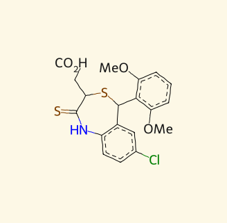 COc1cccc(OC)c1C1SC(CC(=O)O)C(=S)Nc2ccc(Cl)cc21